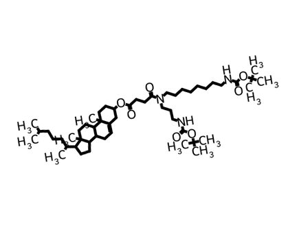 CC(C)CCCC(C)C1CCC2C3CC=C4CC(OC(=O)CCC(=O)N(CCCCCCCCNC(=O)OC(C)(C)C)CCCNC(=O)OC(C)(C)C)CCC4(C)C3CCC12C